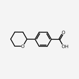 O=C(O)c1ccc(C2CCCCO2)cc1